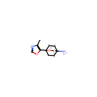 Cc1ncoc1C12CCC(N)(CC1)CO2